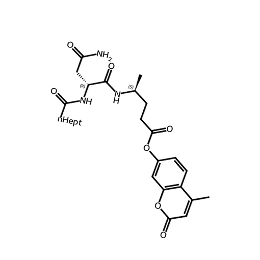 CCCCCCCC(=O)N[C@H](CC(N)=O)C(=O)N[C@@H](C)CCC(=O)Oc1ccc2c(C)cc(=O)oc2c1